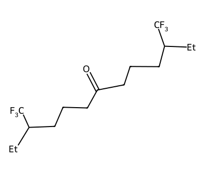 CCC(CCCC(=O)CCCC(CC)C(F)(F)F)C(F)(F)F